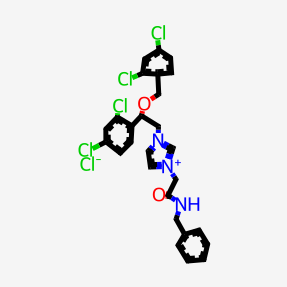 O=C(C[n+]1ccn(CC(OCc2ccc(Cl)cc2Cl)c2ccc(Cl)cc2Cl)c1)NCc1ccccc1.[Cl-]